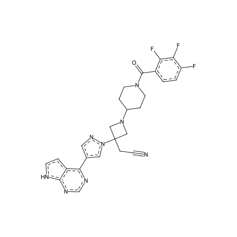 N#CCC1(n2cc(-c3ncnc4[nH]ccc34)cn2)CN(C2CCN(C(=O)c3ccc(F)c(F)c3F)CC2)C1